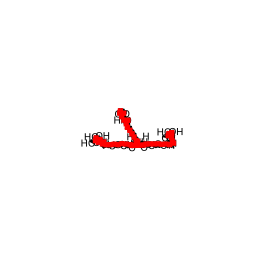 O=C(CCCCCCCCCCC(=O)NC(CCC(=O)NCCOCCOCCOCCn1cc(C[C@H]2C[C@@H](O)[C@@H](O)[C@@H](CO)O2)nn1)CCC(=O)NCCOCCOCCOCCn1cc(C[C@H]2C[C@@H](O)[C@@H](O)[C@@H](CO)O2)nn1)NCCN1C(=O)C=CC1=O